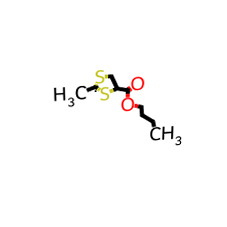 CCCCOC(=O)C1CS[C](C)S1